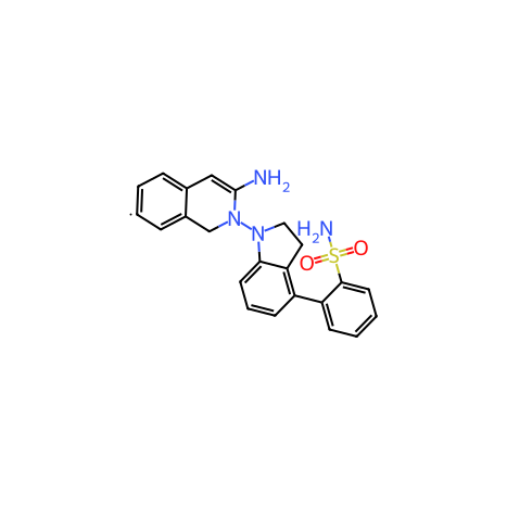 NC1=Cc2cc[c]cc2CN1N1CCc2c(-c3ccccc3S(N)(=O)=O)cccc21